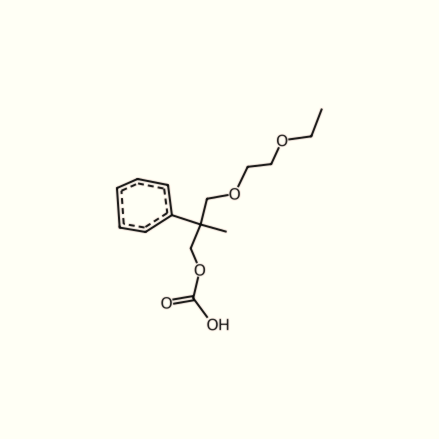 CCOCCOCC(C)(COC(=O)O)c1ccccc1